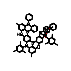 Cc1cc(C)c(N2c3cc4c(cc3B3c5cc6c(cc5Oc5cc(C)cc2c53)N(c2c(C)cc(C)cc2C)c2cc(C)cc3c2B6c2ccccc2N3c2ccccc2)B2c3ccccc3N(c3ccccc3)c3cc(C)cc(c32)N4)c(C)c1